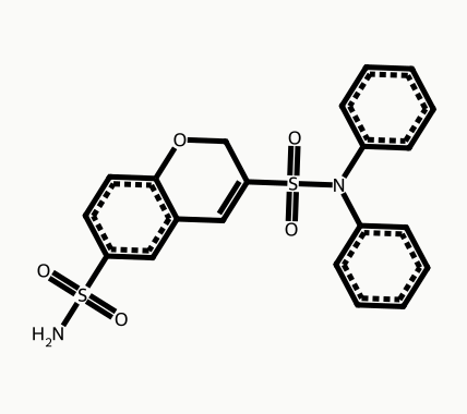 NS(=O)(=O)c1ccc2c(c1)C=C(S(=O)(=O)N(c1ccccc1)c1ccccc1)CO2